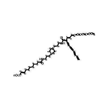 C#CC#CC#CC#CC(/C=C/C=C=C=C=C=C=C=C=C)C(=O)NCCCN1CCN(CCCNC(=O)CCCCCCC/C=C/CCCCCCCC)CC1